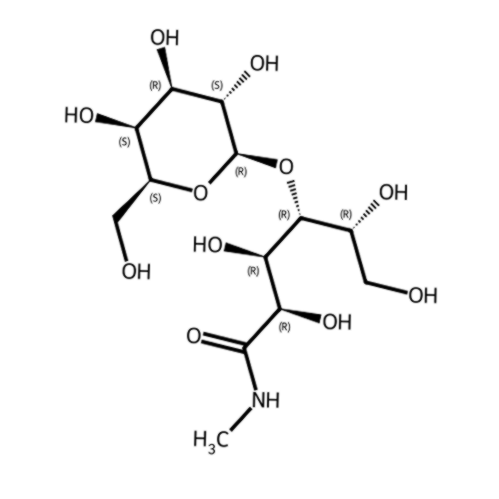 CNC(=O)[C@H](O)[C@@H](O)[C@H](O[C@H]1O[C@@H](CO)[C@@H](O)[C@@H](O)[C@@H]1O)[C@H](O)CO